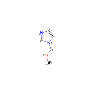 CC(C)OCn1ccnc1